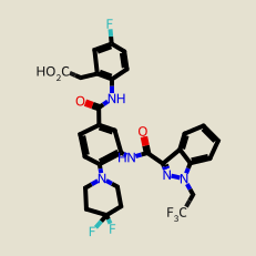 O=C(O)Cc1cc(F)ccc1NC(=O)c1ccc(N2CCC(F)(F)CC2)c(NC(=O)c2nn(CC(F)(F)F)c3ccccc23)c1